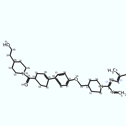 C=N/C(=N\C=C(/C)CC)N1CCC(COc2ccc(C3=CCC(C(=O)N4CCC(CCO)CC4)CC3)cc2)CC1